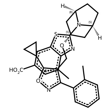 Cc1ccccc1-c1noc(C2CC2)c1CO[C@@H]1C[C@H]2CC[C@@H](C1)N2c1nc2c(C)cc(C(=O)O)cc2s1